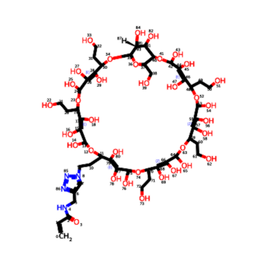 C=CC(=O)NCc1cn(CCC2OC(O)/C(O)=C(\O)C(CCO)OC(O)/C(O)=C(\O)C(CCO)OC3OC(CO)C(OC(O)/C(O)=C(\O)C(CCO)OC(O)/C(O)=C(/O)C(CCO)OC(O)/C(O)=C(/O)C(CCO)OC(O)/C(O)=C/2O)C(O)[C@H]3O)nn1